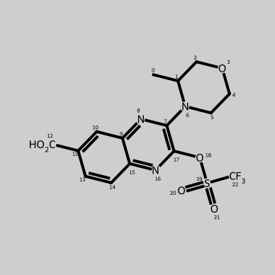 CC1COCCN1c1nc2cc(C(=O)O)ccc2nc1OS(=O)(=O)C(F)(F)F